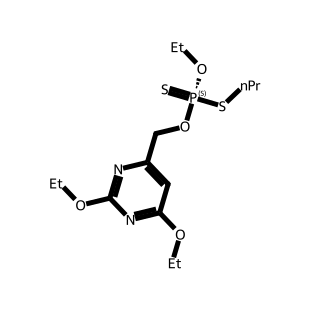 CCCS[P@@](=S)(OCC)OCc1cc(OCC)nc(OCC)n1